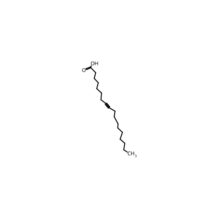 CCCCCCCCCC#CCCCCCCC(=O)O